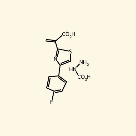 C=C(C(=O)O)c1nc(-c2ccc(F)cc2)cs1.NNC(=O)O